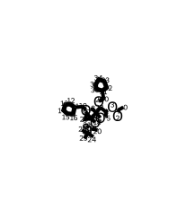 CC(=O)OC1COC(COCc2ccccc2)(C2(O[Si](C)(C)C(C)(C)C)CC2)C1OCc1ccccc1